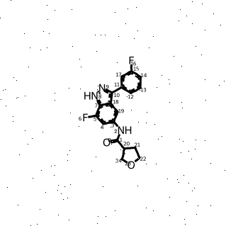 O=C(Nc1cc(F)c2[nH]nc(-c3cccc(F)c3)c2c1)C1CCOC1